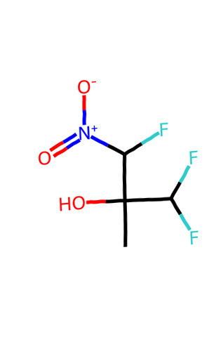 CC(O)(C(F)F)C(F)[N+](=O)[O-]